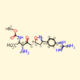 CCCCOC(=O)NC(C(=O)O)[C@H](N)C(=O)C[C@H]1CC(c2ccc(NC(=N)N)cc2)=NO1